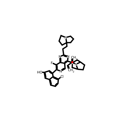 C=CC(=C)N1C2CCC1CN(c1nc(CCC34CCCN3CCC4)nc3c(F)c(-c4cc(O)cc5cccc(Cl)c45)ncc13)C2